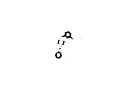 Cc1cc(CO)cc(CN2CCN(c3nc4ccc(C)cc4s3)CC2C)c1